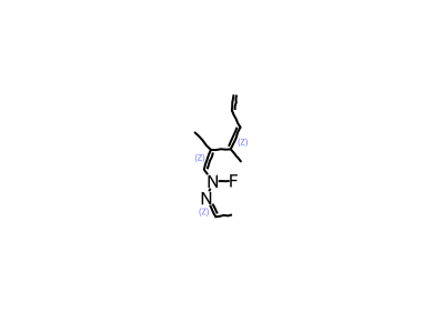 C=C/C=C(C)\C(C)=C/N(F)/N=C\C